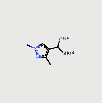 CCCCCCCC(CCCCCC)c1cn(C)nc1C